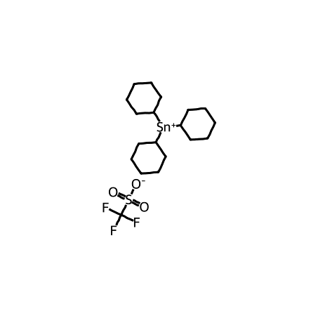 C1CC[CH]([Sn+]([CH]2CCCCC2)[CH]2CCCCC2)CC1.O=S(=O)([O-])C(F)(F)F